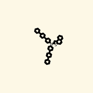 c1ccc(-c2ccc(-c3ccc(N(c4ccc(-c5ccc(-c6ccccc6)cc5)cc4)c4cc5c(ccc6ccccc65)s4)cc3)cc2)cc1